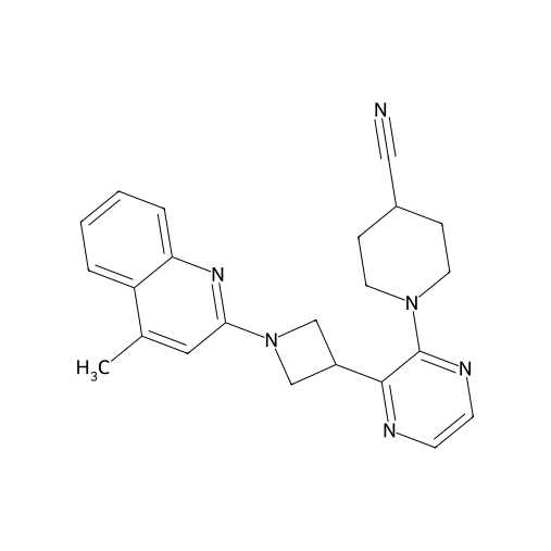 Cc1cc(N2CC(c3nccnc3N3CCC(C#N)CC3)C2)nc2ccccc12